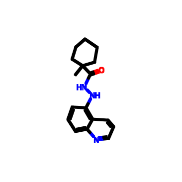 CC1(C(=O)NNc2cccc3ncccc23)CCCCC1